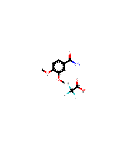 COc1ccc(C(N)=O)cc1OC.O=C(O)C(F)(F)F